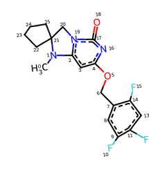 CN1c2cc(OCc3cc(F)c(F)cc3F)nc(=O)n2CC12CCCC2